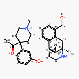 CCC(=O)C1(c2cccc(O)c2)CCN(C)CC1.OCc1cccc2c1C[C@H]1NCC[C@@]23CCCC[C@@H]13